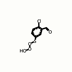 O=Cc1cc(SOOO)ccc1Cl